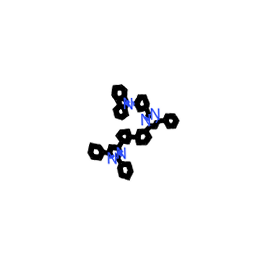 c1ccc(-c2cc(-c3cccc(-c4cccc(-c5cc(-c6ccccc6)nc(-c6cccc(-n7c8ccccc8c8ccccc87)c6)n5)c4)c3)nc(-c3ccccc3)n2)cc1